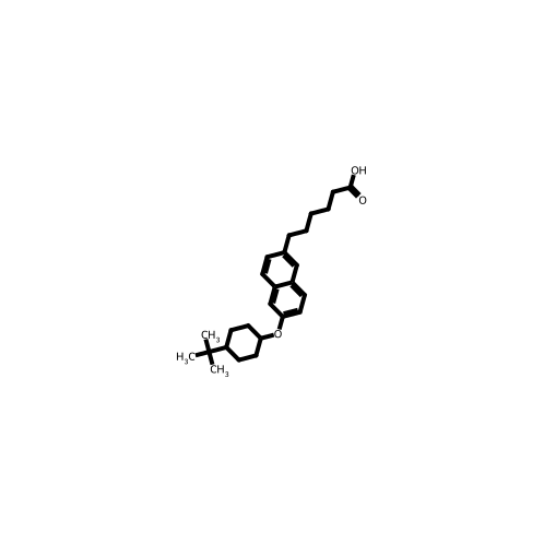 CC(C)(C)C1CCC(Oc2ccc3cc(CCCCCC(=O)O)ccc3c2)CC1